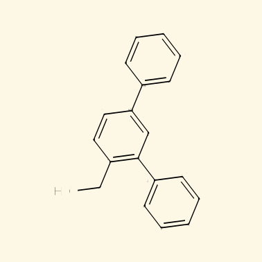 CCc1ccc(-c2ccccc2)[c]c1-c1ccccc1